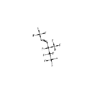 FC(F)(F)C=CC(F)(C(F)(F)F)C(F)(F)C(F)(F)F